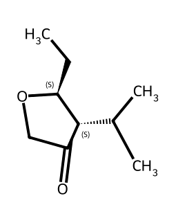 CC[C@@H]1OCC(=O)[C@H]1C(C)C